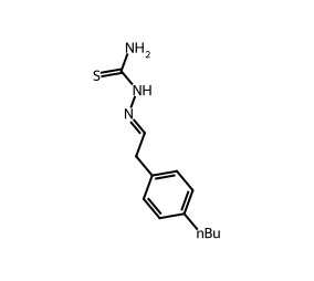 CCCCc1ccc(CC=NNC(N)=S)cc1